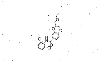 CCOCC1COc2ccc(C(=O)Nc3c(Cl)cccc3Cl)cc2O1